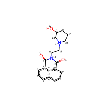 O=C1c2cccc3cccc(c23)C(=O)N1CCN1CCCC(O)C1